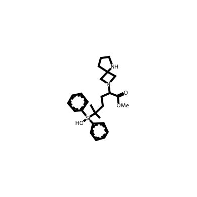 COC(=O)C(CCC(C)(C)[Si](O)(c1ccccc1)c1ccccc1)N1CC2(CCCN2)C1